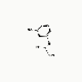 Cc1ccnc([N]C(C=O)C(C)C)c1